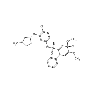 COC1=CC(c2ccccc2)C(S(=O)(=O)Nc2ccc(Cl)c(O[C@@H]3CCN(C)C3)c2)=CC1(Cl)OC